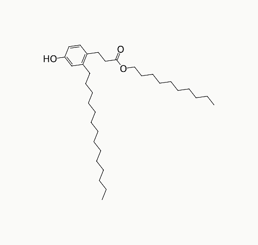 CCCCCCCCCCCCCCc1cc(O)ccc1CCC(=O)OCCCCCCCCCC